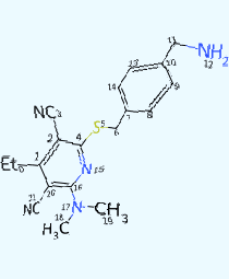 CCc1c(C#N)c(SCc2ccc(CN)cc2)nc(N(C)C)c1C#N